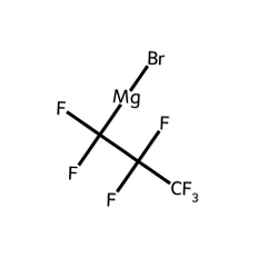 FC(F)(F)C(F)(F)[C](F)(F)[Mg][Br]